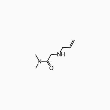 C=CCNCC(=O)N(C)C